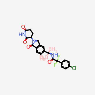 Bc1cc2c(cc1C(B)(B)NC(=O)C(F)(F)c1ccc(Cl)cc1)CN(C1CCC(=O)NC1=O)C2=O